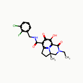 CCN1C[C@]2(C)CCc3c(C(=O)NCc4cccc(Cl)c4F)c(=O)c(O)c(n32)C1=O